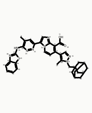 Cc1cc(-c2cnc3c(C(=O)O)c(-c4cnn(CC56CC7CC(CC(C7)C5)C6)c4C)ccn23)nnc1Nc1nc2ccccc2s1